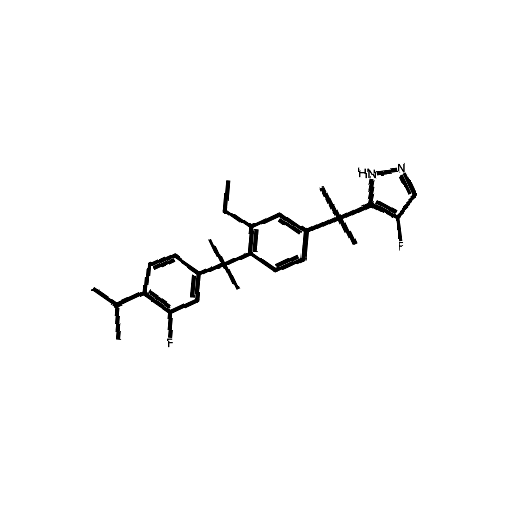 CCc1cc(C(C)(C)c2[nH]ncc2F)ccc1C(C)(C)c1ccc(C(C)C)c(F)c1